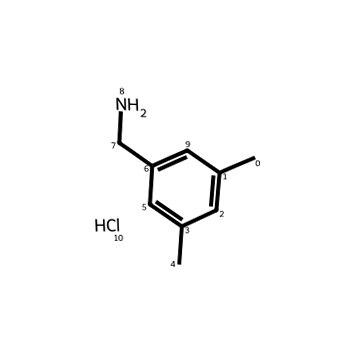 Cc1cc(C)cc(CN)c1.Cl